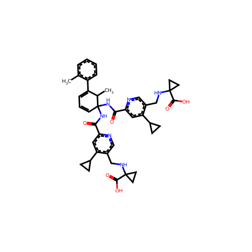 Cc1ccccc1C1=CC=CC(NC(=O)c2cc(C3CC3)c(CNC3(C(=O)O)CC3)cn2)(NC(=O)c2cc(C3CC3)c(CNC3(C(=O)O)CC3)cn2)C1C